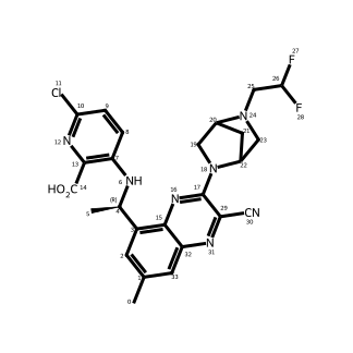 Cc1cc([C@@H](C)Nc2ccc(Cl)nc2C(=O)O)c2nc(N3CC4CC3CN4CC(F)F)c(C#N)nc2c1